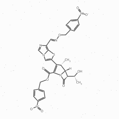 C[C@@H](O)[C@H]1C(=O)N2C(C(=O)OCc3ccc([N+](=O)[O-])cc3)=C(c3cn4cnc(C=NOCc5ccc([N+](=O)[O-])cc5)c4s3)[C@H](C)[C@H]12